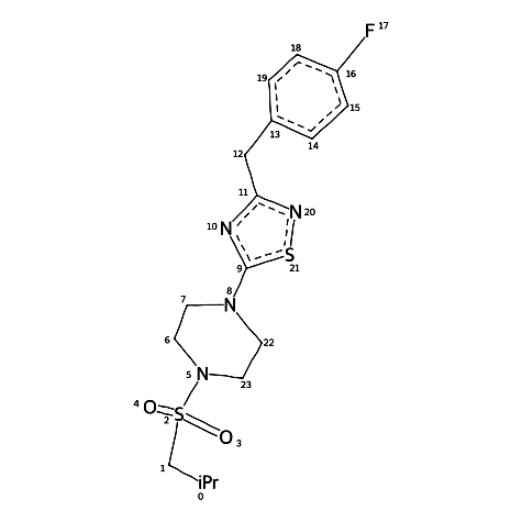 CC(C)CS(=O)(=O)N1CCN(c2nc(Cc3ccc(F)cc3)ns2)CC1